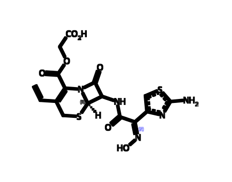 C=CC1=C(C(=O)OCC(=O)O)N2C(=O)C(NC(=O)/C(=N\O)c3csc(N)n3)[C@H]2SC1